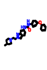 CC1CCN(CCn2cc3ccc(NC(=O)Nc4ccc(Oc5ccccc5)cc4)cc3n2)CC1